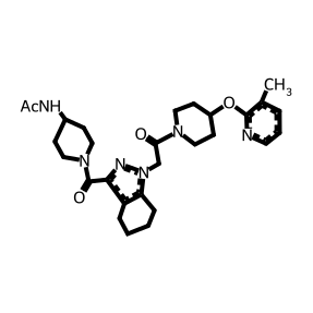 CC(=O)NC1CCN(C(=O)c2nn(CC(=O)N3CCC(Oc4ncccc4C)CC3)c3c2CCCC3)CC1